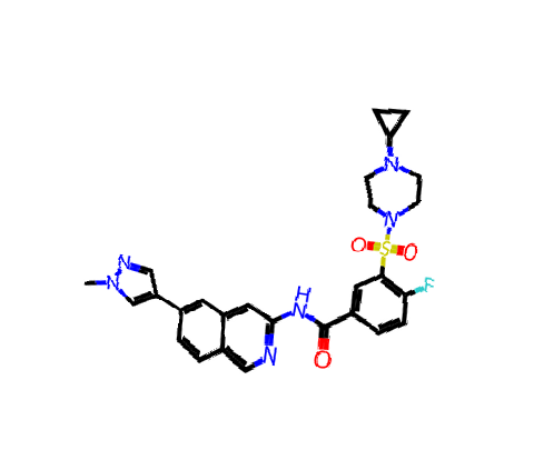 Cn1cc(-c2ccc3cnc(NC(=O)c4ccc(F)c(S(=O)(=O)N5CCN(C6CC6)CC5)c4)cc3c2)cn1